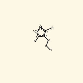 CCCc1c(I)noc1C